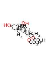 C[C@H](CC(OC(=O)O)OC(=O)O)[C@H]1CC[C@H]2[C@@H]3[C@H](O)CC4C[C@H](O)CC[C@]4(C)[C@H]3CC[C@]12C